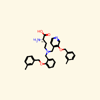 Cc1cccc(COc2ccccc2CN(CC[C@H](N)C(=O)O)Cc2ccncc2OCc2cccc(C)c2)c1